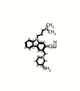 CN(C)CCCn1c2ccccc2c2cc(CN3CCCC(N)C3)ccc21.Cl.Cl